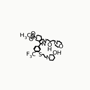 CS(=O)(=O)N1CCc2c(c(-c3ccc(C(F)(F)F)c(SCCN4CCC[C@H](O)C4)c3)nn2C[C@@H](O)CN2CCOCC2)C1